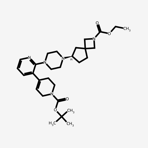 CCOC(=O)N1CC2(CC[C@@H](N3CCN(c4ncccc4C4=CCN(C(=O)OC(C)(C)C)CC4)CC3)C2)C1